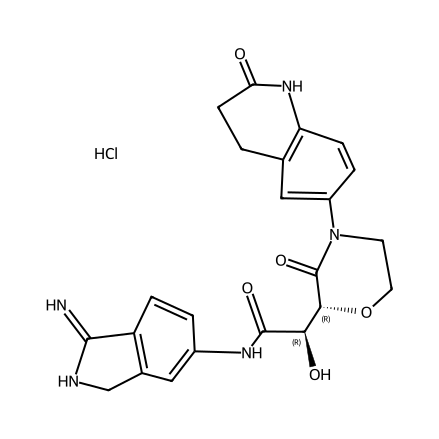 Cl.N=C1NCc2cc(NC(=O)[C@H](O)[C@H]3OCCN(c4ccc5c(c4)CCC(=O)N5)C3=O)ccc21